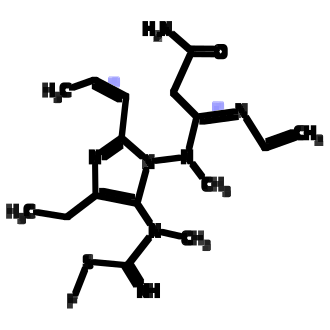 C=C/N=C(/CC(N)=O)N(C)n1c(/C=C\C)nc(CC)c1N(C)C(=N)SF